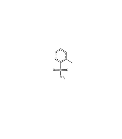 NS(=O)(=O)c1ccccc1I